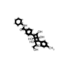 Cc1ccc(C2[C@]3(O)C(O)C(c4ccc(C(=O)NC5CCCCC5)cc4)[C@]3(O)[C@]2(O)[C@H](O)CO)cc1